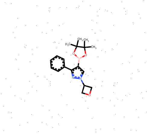 CC1(C)OB(c2cn(C3COC3)nc2-c2ccccc2)OC1(C)C